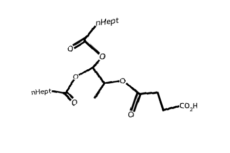 CCCCCCCC(=O)OC(OC(=O)CCCCCCC)C(C)OC(=O)CCC(=O)O